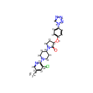 O=C1C(Oc2ccc(-n3cnnn3)cc2)CCN1C1CCN(c2ncc(C(F)(F)F)cc2Cl)CC1